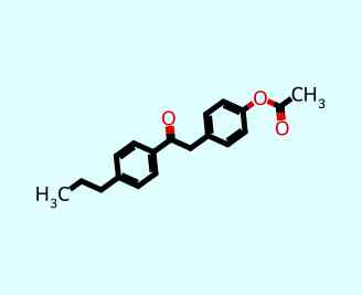 CCCc1ccc(C(=O)Cc2ccc(OC(C)=O)cc2)cc1